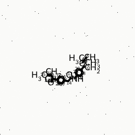 C=C(OC(C)(C)C)c1ccc(NC(=O)Cc2ccc(C(=O)CC(C)(C)C)cc2)cc1